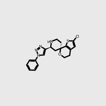 Clc1cc2c(s1)[C@@]1(CCN[C@H](c3cn(-c4ccccc4)nn3)C1)OCC2